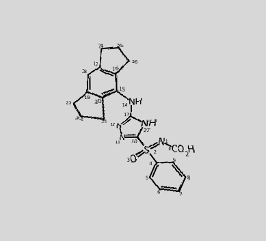 O=C(O)N=S(=O)(c1ccccc1)c1nnc(Nc2c3c(cc4c2CCC4)CCC3)[nH]1